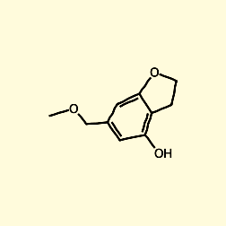 COCc1cc(O)c2c(c1)OCC2